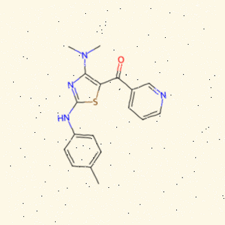 Cc1ccc(Nc2nc(N(C)C)c(C(=O)c3cccnc3)s2)cc1